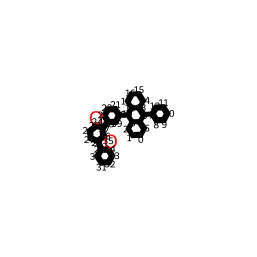 C1=CCC2C(=C1)C(c1ccccc1)=C1C=CC=CC1C2c1ccc2oc3ccc4c5ccccc5oc4c3c2c1